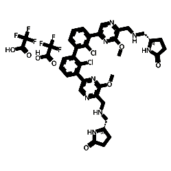 COc1nc(-c2cccc(-c3cccc(-c4cnc(CNC[C@@H]5CCC(=O)N5)c(OC)n4)c3Cl)c2Cl)cnc1CNC[C@@H]1CCC(=O)N1.O=C(O)C(F)(F)F.O=C(O)C(F)(F)F